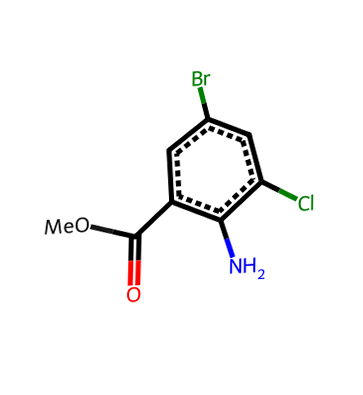 COC(=O)c1cc(Br)cc(Cl)c1N